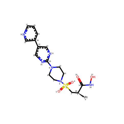 CC(C)[C@@H](CS(=O)(=O)N1CCN(c2ncc(-c3cccnc3)cn2)CC1)C(=O)NO